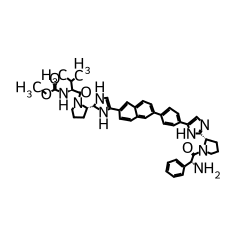 COC(=O)N[C@H](C(=O)N1CCC[C@H]1C1NC=C(c2ccc3cc(-c4ccc(-c5cnc([C@@H]6CCCN6C(=O)[C@H](N)c6ccccc6)[nH]5)cc4)ccc3c2)N1)C(C)C